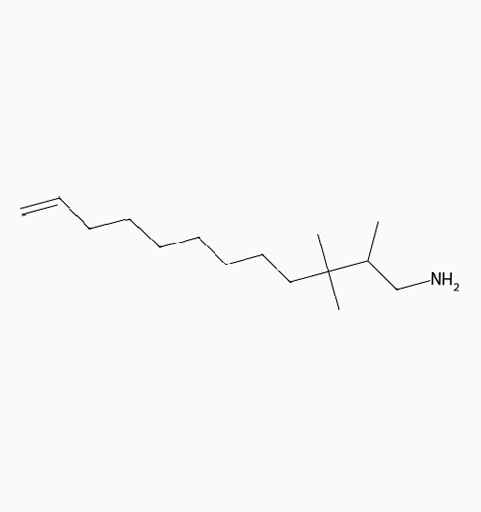 C=CCCCCCCCC(C)(C)C(C)CN